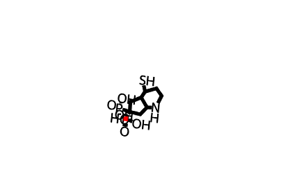 O=P(O)(O)C1(P(=O)(O)O)CC2NCCC(S)C2C1